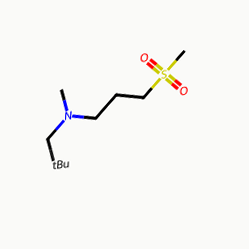 CN(CCCS(C)(=O)=O)CC(C)(C)C